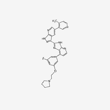 Cc1ccncc1-c1cnc2[nH]nc(-c3nc4c(-c5cc(F)cc(OCCN6CCCC6)c5)ccnc4[nH]3)c2c1